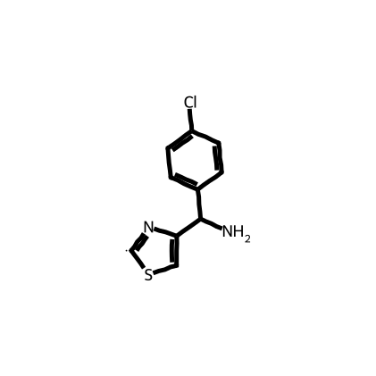 NC(c1ccc(Cl)cc1)c1cs[c]n1